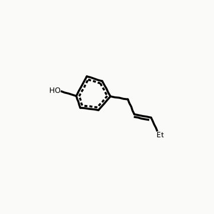 CCC=CCc1ccc(O)cc1